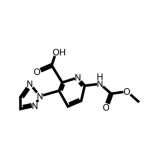 COC(=O)Nc1ccc(-n2nccn2)c(C(=O)O)n1